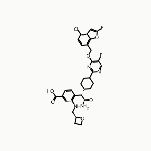 NC(=O)[C@H](c1ccc(C(=O)O)cc1NC[C@@H]1CCO1)C1CCC(c2ncc(F)c(OCc3ccc(Cl)c4cc(F)oc34)n2)CC1